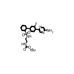 CC(C)(C)OC(=O)NCCNS(=O)(=O)c1ccccc1-c1ccc(-c2cnc(N)cn2)c(F)c1